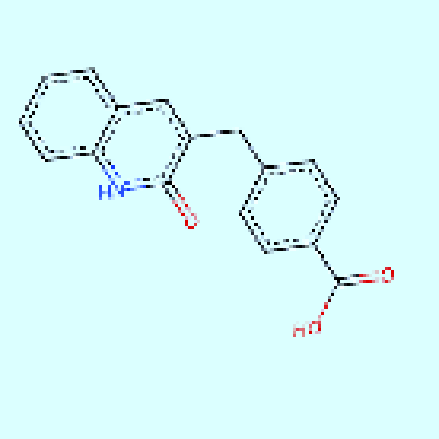 O=C(O)c1ccc(Cc2cc3ccccc3[nH]c2=O)cc1